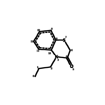 CCCN1C(=O)CSc2ccccc21